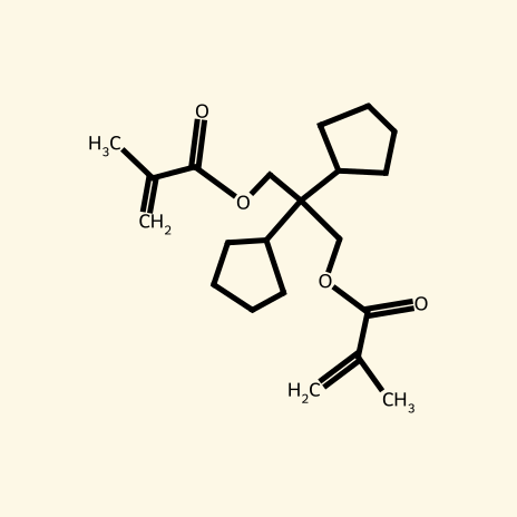 C=C(C)C(=O)OCC(COC(=O)C(=C)C)(C1CCCC1)C1CCCC1